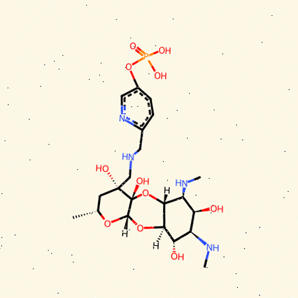 CN[C@@H]1[C@H](O)[C@H](NC)[C@H]2O[C@]3(O)[C@H](O[C@@H]2[C@H]1O)O[C@H](C)C[C@@]3(O)CNCc1ccc(OP(=O)(O)O)cn1